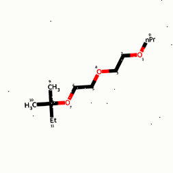 CCCOCCOCCOC(C)(C)CC